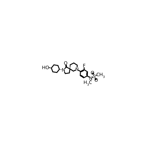 CN(c1ccc(N2CCC[C@]3(CCN([C@H]4CC[C@H](O)CC4)C3=O)C2)c(F)c1)S(C)(=O)=O